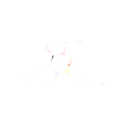 CCCC[S@+]([O-])N1CC=C(C)C[C@H]1C(=O)OCC